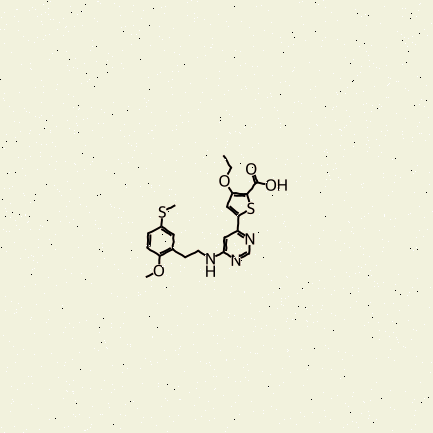 CCOc1cc(-c2cc(NCCc3cc(SC)ccc3OC)ncn2)sc1C(=O)O